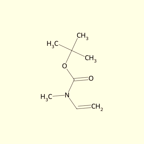 C=CN(C)C(=O)OC(C)(C)C